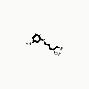 COc1cccc(OCCC[C@H](CS)C(=O)O)c1